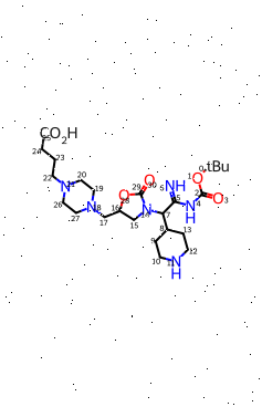 CC(C)(C)OC(=O)NC(=N)C(C1CCNCC1)N1CC(CN2CCN(CCCC(=O)O)CC2)OC1=O